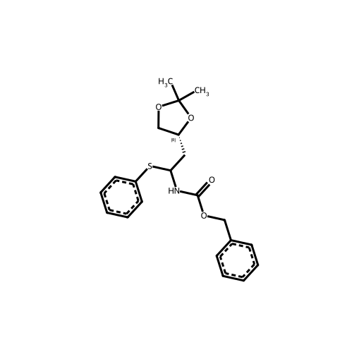 CC1(C)OC[C@@H](CC(NC(=O)OCc2ccccc2)Sc2ccccc2)O1